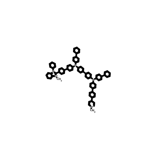 C[n+]1ccc(-c2ccc(-c3ccc(N(c4ccc(-c5ccccc5)cc4)c4ccc(-c5ccc(N(c6ccc(-c7ccccc7)cc6)c6ccc(-c7ccc(-c8n(-c9ccccc9)c9ccccc9[n+]8C)cc7)cc6)cc5)cc4)cc3)cc2)cc1